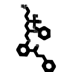 CCCN(CC(O)COc1ccccc1C(=O)CCc1ccccc1)P(=O)(O)Oc1ccccc1